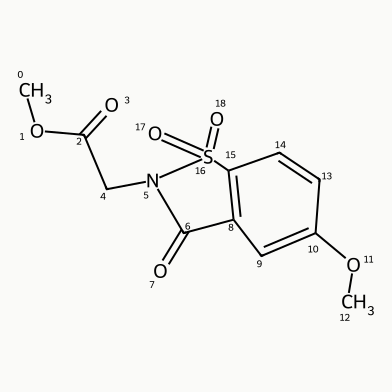 COC(=O)CN1C(=O)c2cc(OC)ccc2S1(=O)=O